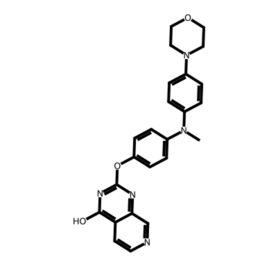 CN(c1ccc(Oc2nc(O)c3ccncc3n2)cc1)c1ccc(N2CCOCC2)cc1